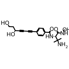 CC(C)(N)[C@H](NC(=O)c1ccc(C#CC#C[C@@H](O)CCO)cc1)C(=O)NO